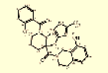 CCC[C@H]1N(C(=O)c2cnccc2C(F)(F)F)CCC[C@@]1(Oc1csc(C(F)(F)F)c1)C(=O)N1CCc2cccc(O)c2C1